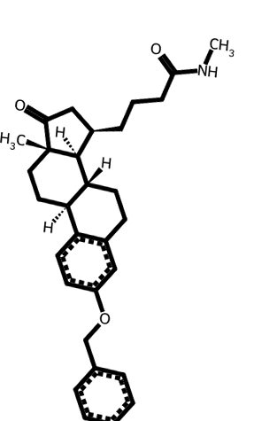 CNC(=O)CCC[C@@H]1CC(=O)[C@@]2(C)CC[C@@H]3c4ccc(OCc5ccccc5)cc4CC[C@H]3[C@H]12